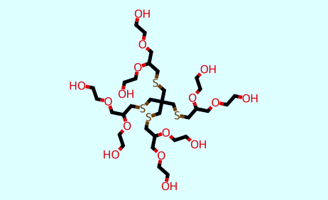 OCCOCC(CSCC(CSCC(COCCO)OCCO)(CSCC(COCCO)OCCO)CSCC(COCCO)OCCO)OCCO